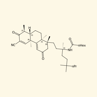 CCCCCCC(=O)N[C@@](C)(CCC(C)(C)CCC)CC[C@]1(C)CC(=O)C=C2[C@@]3(C)C=C(C#N)C(=O)[C@@H](C)[C@@H]3CC[C@]21C